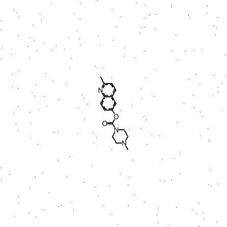 Cc1ccc2cc(OC(=O)N3CCN(C)CC3)ccc2n1